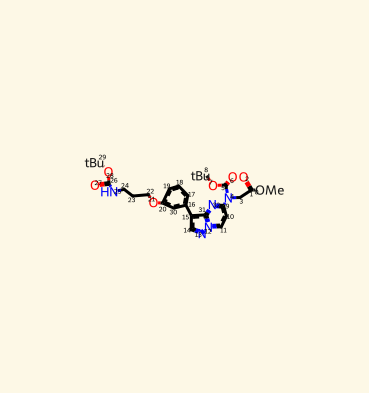 COC(=O)CN(C(=O)OC(C)(C)C)c1ccn2ncc(-c3cccc(OCCCNC(=O)OC(C)(C)C)c3)c2n1